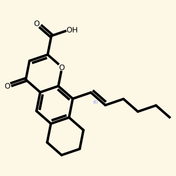 CCCC/C=C/c1c2c(cc3c(=O)cc(C(=O)O)oc13)CCCC2